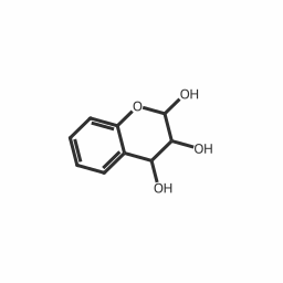 OC1Oc2ccccc2C(O)C1O